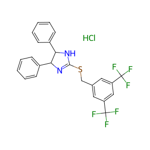 Cl.FC(F)(F)c1cc(CSC2=NC(c3ccccc3)C(c3ccccc3)N2)cc(C(F)(F)F)c1